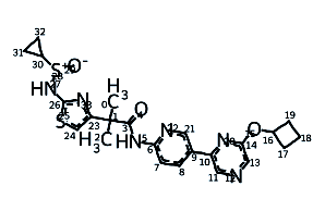 CC(C)(C(=O)Nc1ccc(-c2cncc(OC3CCC3)n2)cn1)c1csc(N[S+]([O-])C2CC2)n1